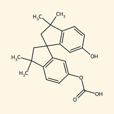 CC1(C)CC2(CC(C)(C)c3ccc(OC(=O)O)cc32)c2cc(O)ccc21